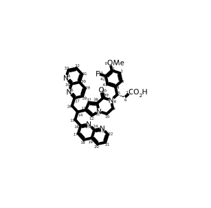 COc1ccc([C@H](CC(=O)O)N2CCn3cc(C(Cc4ccc5cccnc5n4)Cc4ccc5cccnc5n4)cc3C2=O)cc1F